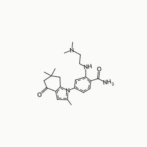 Cc1cc2c(n1-c1ccc(C(N)=O)c(NCCN(C)C)c1)CC(C)(C)CC2=O